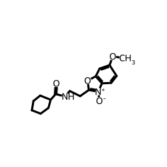 COc1ccc2c(c1)oc(CCNC(=O)C1CCCCC1)[n+]2[O-]